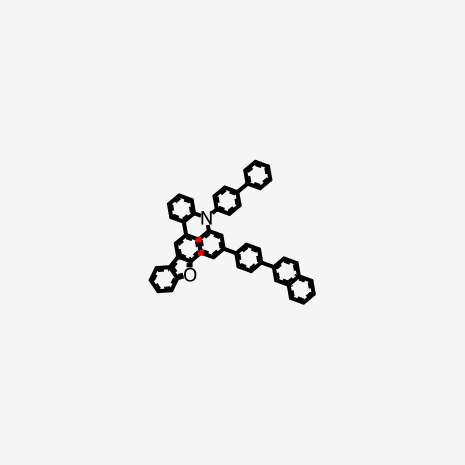 c1ccc(-c2ccc(N(c3cccc(-c4ccc(-c5ccc6ccccc6c5)cc4)c3)c3ccccc3-c3ccc4oc5ccccc5c4c3)cc2)cc1